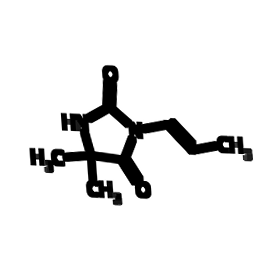 CC=CN1C(=O)NC(C)(C)C1=O